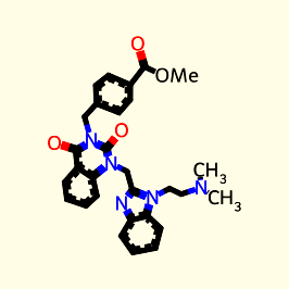 COC(=O)c1ccc(Cn2c(=O)c3ccccc3n(Cc3nc4ccccc4n3CCN(C)C)c2=O)cc1